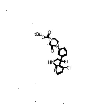 CCC1(c2cccc(N3CCN(C(=O)OC(C)(C)C)CC3=O)c2)CNc2nccc(Cl)c21